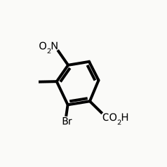 Cc1c([N+](=O)[O-])ccc(C(=O)O)c1Br